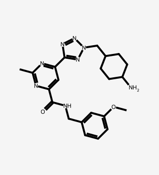 COc1cccc(CNC(=O)c2cc(-c3nnn(CC4CCC(N)CC4)n3)nc(C)n2)c1